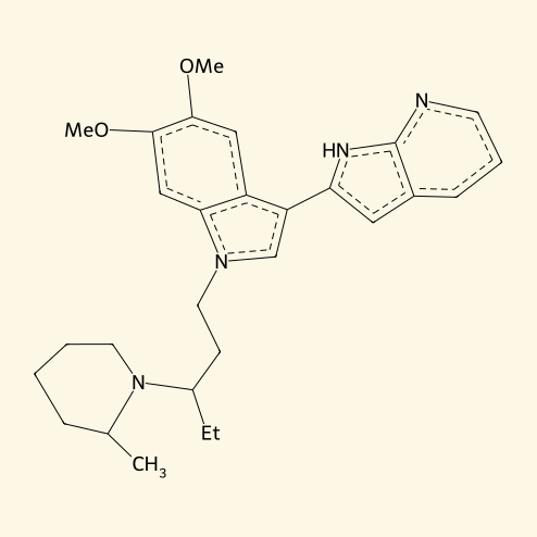 [CH2]CC(CCn1cc(-c2cc3cccnc3[nH]2)c2cc(OC)c(OC)cc21)N1CCCCC1C